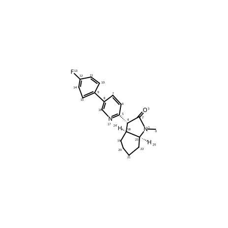 CN1C(=O)[C@@H](c2ccc(-c3ccc(F)cc3)cn2)[C@@H]2CCCC[C@@H]21